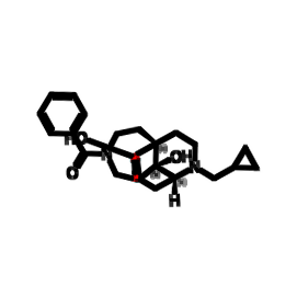 O=C(c1ccccc1)N1CC[C@]23CCN(CC4CC4)[C@H](Cc4ccc(O)cc42)[C@]3(O)CC1